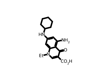 CCn1cc(C(=O)O)c(=O)c2c(N)cc(NC3CCCCC3)cc21